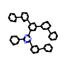 c1ccc(-c2cccc(-c3cc(-c4cccc(-c5ccccc5)c4)cc(-c4nc(-c5ccccc5)nc(-c5cccc(-c6ccccc6)c5)n4)c3)c2)cc1